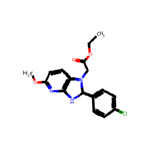 CCOC(=O)CN1c2ccc(OC)nc2NC1c1ccc(Cl)cc1